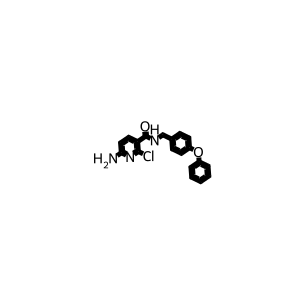 Nc1ccc(C(=O)NCc2ccc(Oc3ccccc3)cc2)c(Cl)n1